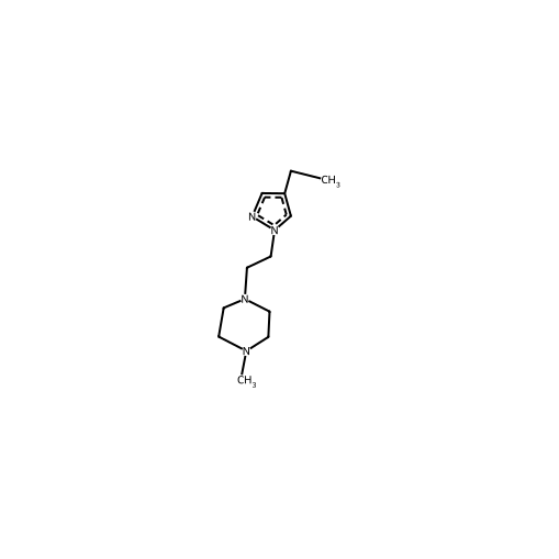 CCc1cnn(CCN2CCN(C)CC2)c1